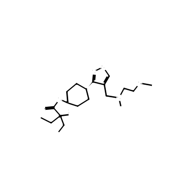 CCC1(CC)C[C@]2(CC[C@H](c3n[nH]cc3CN(C)CCNC)CC2)NC1=O